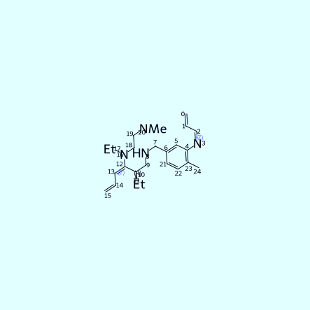 C=C/C=N\c1cc(CNC[C@@H](CC)/C(=C\C=C)N(CC)CCNC)ccc1C